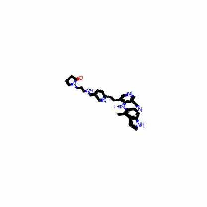 Cc1c(Nc2c(C#N)cncc2/C=C/c2ccc(CNCCCN3CCCC3=O)cn2)ccc2[nH]ccc12